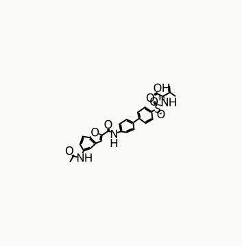 CC(=O)Nc1ccc2oc(C(=O)Nc3ccc(-c4ccc(S(=O)(=O)N[C@@H](C(=O)O)C(C)C)cc4)cc3)cc2c1